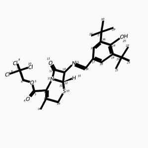 CC1=C(C(=O)OCC(Cl)(Cl)Cl)N2C(=O)C(N=Cc3cc(C(C)(C)C)c(O)c(C(C)(C)C)c3)[C@@H]2SC1